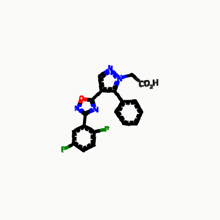 O=C(O)Cn1ncc(-c2nc(-c3cc(F)ccc3F)no2)c1-c1ccccc1